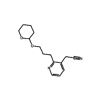 N#CCc1cccnc1CCCOC1CCCCO1